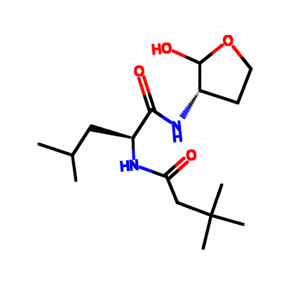 CC(C)C[C@H](NC(=O)CC(C)(C)C)C(=O)N[C@H]1CCOC1O